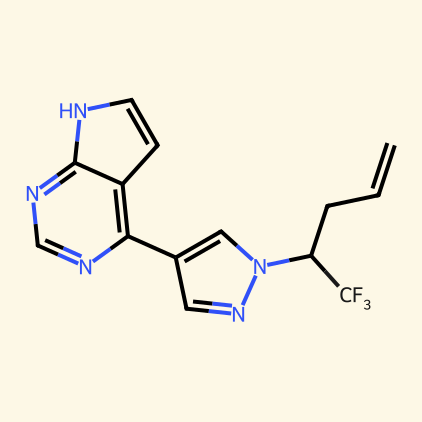 C=CCC(n1cc(-c2ncnc3[nH]ccc23)cn1)C(F)(F)F